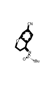 CC(C)(C)[S@+]([O-])N=C1CCOc2cc(C#N)ccc21